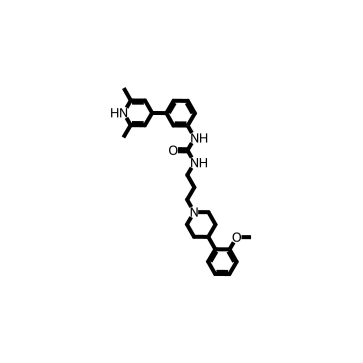 COc1ccccc1C1CCN(CCCNC(=O)Nc2cccc(C3C=C(C)NC(C)=C3)c2)CC1